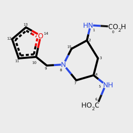 O=C(O)NC1CC(NC(=O)O)CN(Cc2ccco2)C1